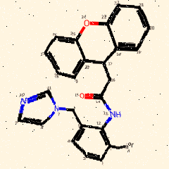 CC(C)c1cccc(Cn2ccnc2)c1NC(=O)CC1c2ccccc2Oc2ccccc21